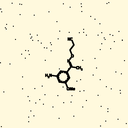 COc1cc(N)cc(C(C)=NOCCC#N)c1